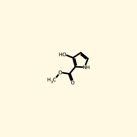 COC(=O)c1[nH]ccc1O